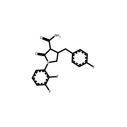 NC(=O)C1C(=O)N(c2cccc(F)c2F)CC1Cc1ccc(F)cc1